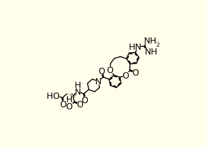 N=C(N)Nc1ccc2c(c1)CCCOc1c(cccc1C(=O)N1CCC(C(=O)N[C@@H](CC(=O)O)C(=O)O)CC1)OC2=O